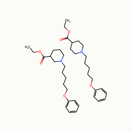 CCOC(=O)C1CCCN(CCCCCOc2ccccc2)C1.CCOC(=O)C1CCN(CCCCCOc2ccccc2)CC1